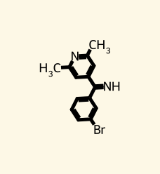 Cc1cc(C(=N)c2cccc(Br)c2)cc(C)n1